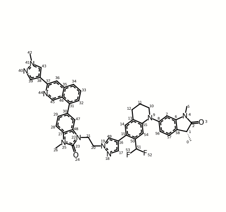 C[C@H]1C(=O)N(C)c2cc(N3CCCc4cc(-c5cnn(CCn6c(=O)n(C)c7ccc(-c8cccc9cc(-c%10cnn(C)c%10)ncc89)cc76)c5)c(C(F)F)cc43)ccc21